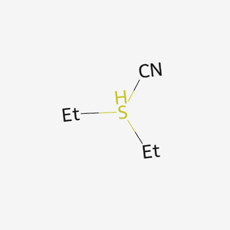 CC[SH](C#N)CC